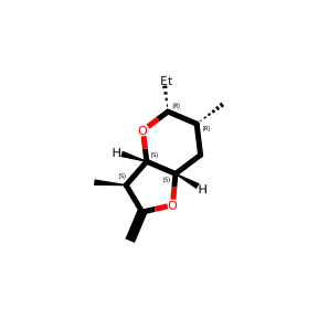 C=C1O[C@H]2C[C@@H](C)[C@@H](CC)O[C@H]2[C@@H]1C